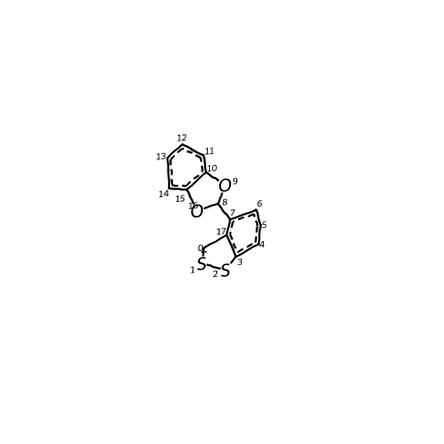 [C]1SSc2cccc(C3Oc4ccccc4O3)c21